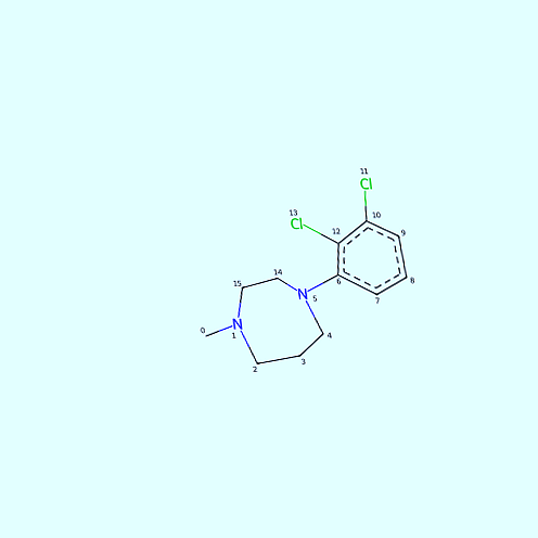 CN1CCCN(c2cccc(Cl)c2Cl)CC1